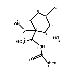 CCCCCCC(=O)NC(C(=O)OCC)C1(SN=O)CCN(C)CC1.Cl